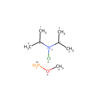 CC(C)N(Cl)C(C)C.COP